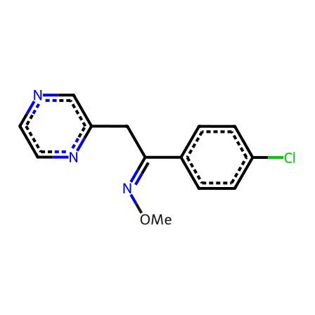 CON=C(Cc1cnccn1)c1ccc(Cl)cc1